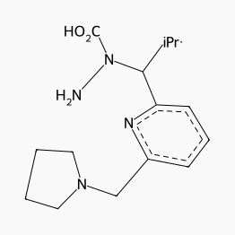 C[C](C)C(c1cccc(CN2CCCC2)n1)N(N)C(=O)O